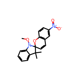 CON1c2ccccc2C(C)(C)C12C=Cc1cc([N+](=O)[O-])ccc1O2